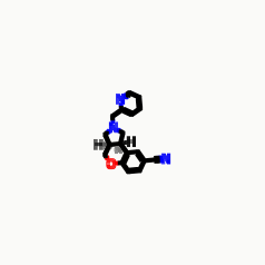 N#Cc1ccc2c(c1)[C@H]1CN(Cc3ccccn3)C[C@@H]1CO2